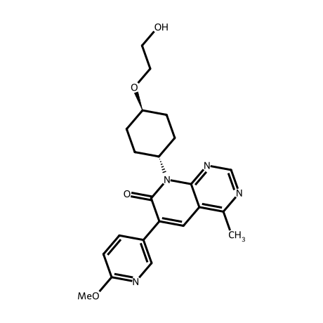 COc1ccc(-c2cc3c(C)ncnc3n([C@H]3CC[C@H](OCCO)CC3)c2=O)cn1